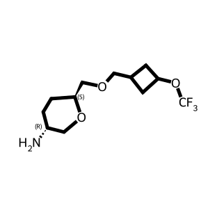 N[C@@H]1CC[C@@H](COCC2CC(OC(F)(F)F)C2)OC1